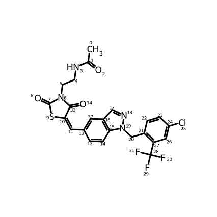 CC(=O)NCCN1C(=O)SC(=Cc2ccc3c(cnn3Cc3ccc(Cl)cc3C(F)(F)F)c2)C1=O